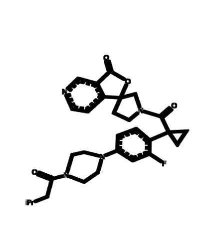 CC(C)CC(=O)N1CCN(c2ccc(C3(C(=O)N4CCC5(C4)OC(=O)c4cnccc45)CC3)c(F)c2)CC1